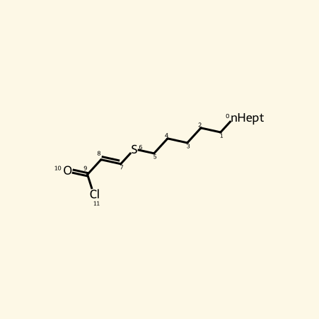 CCCCCCCCCCCCSC=CC(=O)Cl